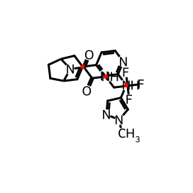 Cn1cc(Nc2nccc(C3=CC4CCC(C3)N4C(=O)C(=O)NCC(F)(F)F)n2)cn1